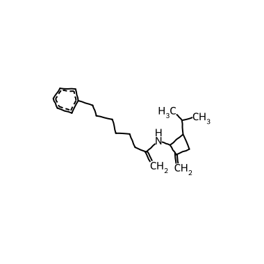 C=C(CCCCCCc1ccccc1)NC1C(=C)CC1C(C)C